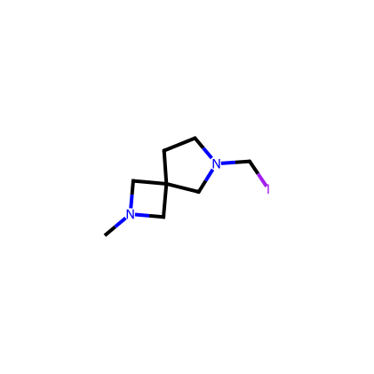 CN1CC2(CCN(CI)C2)C1